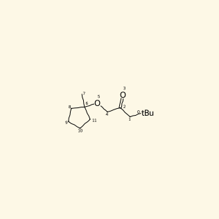 CC(C)(C)CC(=O)COC1(C)CCCC1